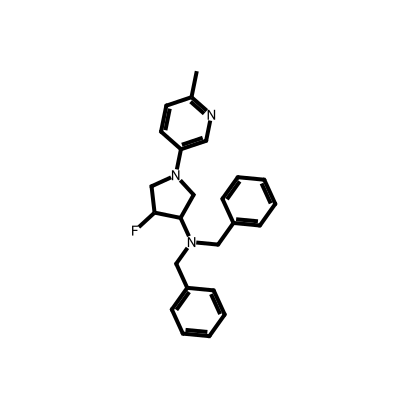 Cc1ccc(N2CC(F)C(N(Cc3ccccc3)Cc3ccccc3)C2)cn1